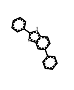 c1ccc(-c2ccc3[nH]c(-c4ccccc4)nc3c2)cc1